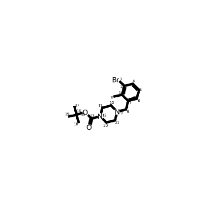 Cc1c(Br)cccc1CN1CCN(C(=O)OC(C)(C)C)CC1